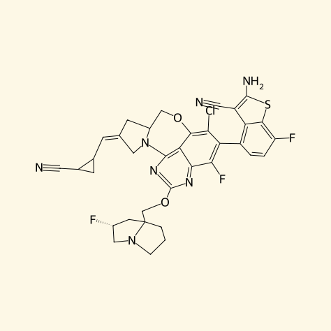 N#Cc1c(N)sc2c(F)ccc(-c3c(Cl)c4c5c(nc(OCC67CCCN6C[C@H](F)C7)nc5c3F)N3C/C(=C\C5CC5C#N)CC3CO4)c12